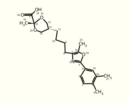 Cc1ccc(-c2nc(CCCC[C@H]3CO[C@@](C)(C(=O)O)OC3)c(C)o2)cc1C